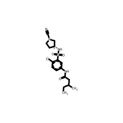 CCC(C)CC(=O)Nc1ccc(Cl)c(S(=O)(=O)N[C@@H]2CCN(C#N)C2)c1